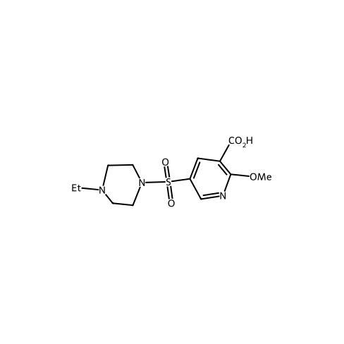 CCN1CCN(S(=O)(=O)c2cnc(OC)c(C(=O)O)c2)CC1